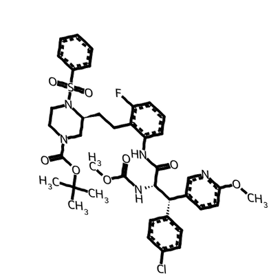 COC(=O)N[C@H](C(=O)Nc1cccc(F)c1CC[C@H]1CN(C(=O)OC(C)(C)C)CCN1S(=O)(=O)c1ccccc1)[C@@H](c1ccc(Cl)cc1)c1ccc(OC)nc1